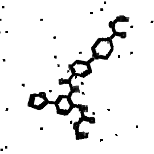 CC(C)(C)OC(=O)Nc1ccc(-c2ccco2)cc1NC(=O)c1ccc(N2CCN(C(=O)OC(C)(C)C)CC2)cn1